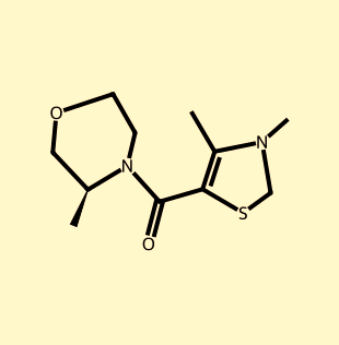 CC1=C(C(=O)N2CCOC[C@@H]2C)SCN1C